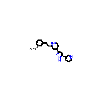 COc1cccc(CCC2CC(c3cc(-c4cccnc4)[nH]n3)CCN2)c1